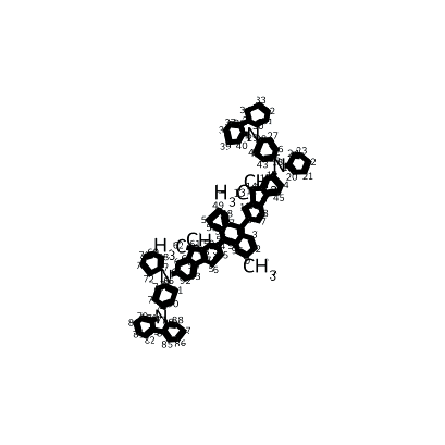 Cc1ccc2c(-c3ccc4c(c3)C(C)(C)c3cc(N(c5ccccc5)c5ccc(-n6c7ccccc7c7ccccc76)cc5)ccc3-4)c3ccccc3c(-c3ccc4c(c3)C(C)(C)c3cc(N(c5ccccc5)c5ccc(-n6c7ccccc7c7ccccc76)cc5)ccc3-4)c2c1